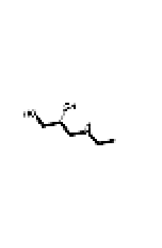 CCNC[C@@H](O)CO